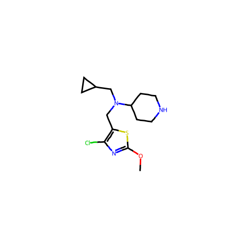 COc1nc(Cl)c(CN(CC2CC2)C2CCNCC2)s1